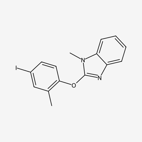 Cc1cc(I)ccc1Oc1nc2ccccc2n1C